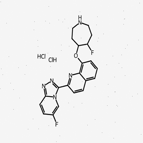 Cl.Cl.Fc1ccc2nnc(-c3ccc4cccc(OC5CCNCCC5F)c4n3)n2c1